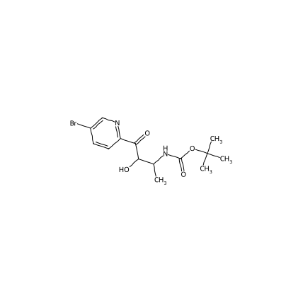 CC(NC(=O)OC(C)(C)C)C(O)C(=O)c1ccc(Br)cn1